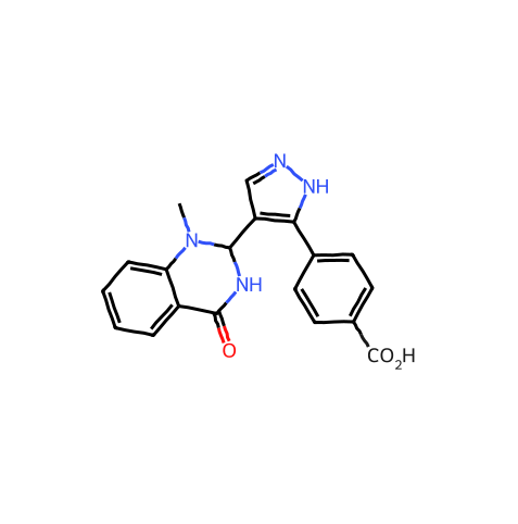 CN1c2ccccc2C(=O)NC1c1cn[nH]c1-c1ccc(C(=O)O)cc1